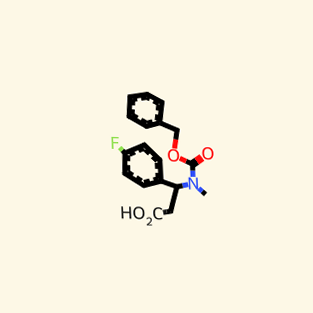 CN(C(=O)OCc1ccccc1)C(CC(=O)O)c1ccc(F)cc1